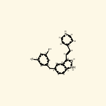 Fc1cc(F)cc(Cc2ccc3[nH]nc(C=Cc4ccncc4)c3c2)c1